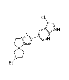 CCN1CCC2(CCn3nc(-c4cnc5[nH]cc(Cl)c5c4)cc32)C1